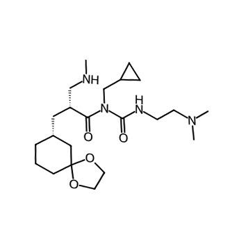 CNC[C@@H](C[C@H]1CCCC2(C1)OCCO2)C(=O)N(CC1CC1)C(=O)NCCN(C)C